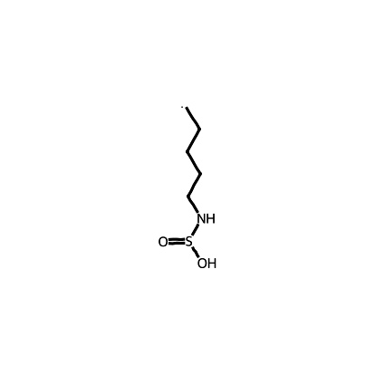 [CH2]CCCCNS(=O)O